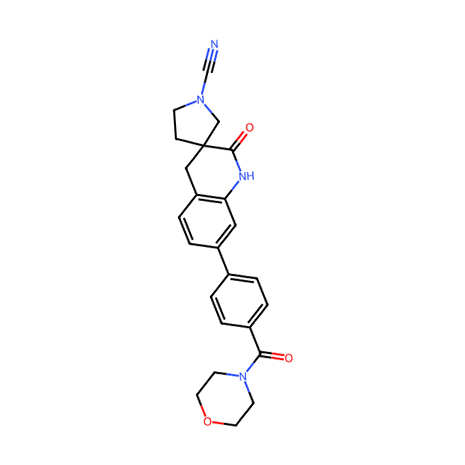 N#CN1CCC2(Cc3ccc(-c4ccc(C(=O)N5CCOCC5)cc4)cc3NC2=O)C1